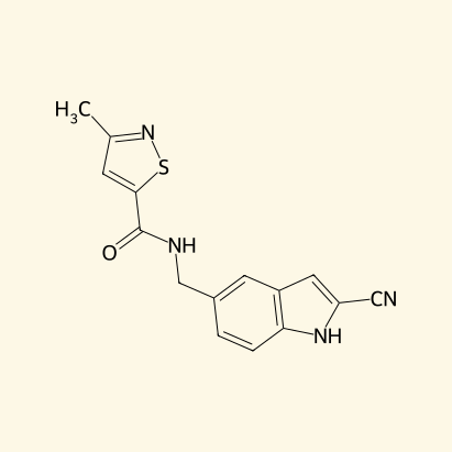 Cc1cc(C(=O)NCc2ccc3[nH]c(C#N)cc3c2)sn1